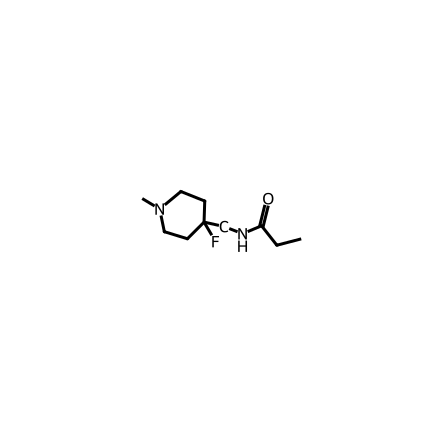 CCC(=O)NCC1(F)CCN(C)CC1